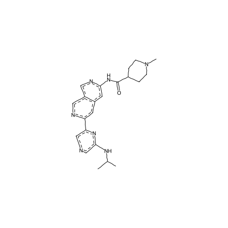 CC(C)Nc1cncc(-c2cc3cc(NC(=O)C4CCN(C)CC4)ncc3cn2)n1